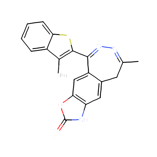 CCCCc1c(C2=NN=C(C)Cc3cc4[nH]c(=O)oc4cc32)sc2ccccc12